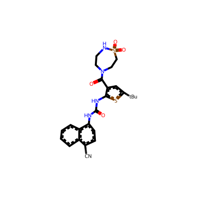 CC(C)(C)c1cc(C(=O)N2CCNS(=O)(=O)CC2)c(NC(=O)Nc2ccc(C#N)c3ccccc23)s1